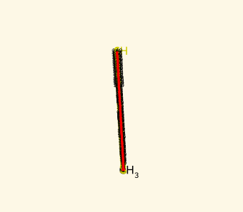 CS(=S)(=S)SSSSSSSSSSSSSSSSSSSSSSSSSSSSSSSSSSSSSSSSSSSSSSSSSSSSSSSSSSSSSSSSSSSSSSSSSSSSSSSSSSSSSSSSSSSSSSSSSSSSSSSSSSSSSSSSSSSSSSSSSSSSSSSSSSSSSSSSS